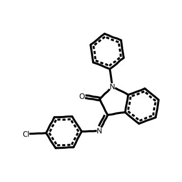 O=C1/C(=N\c2ccc(Cl)cc2)c2ccccc2N1c1ccccc1